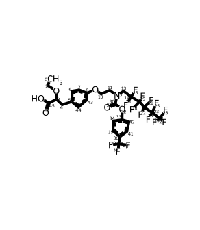 CCOC(Cc1ccc(OCCN(CC(F)(F)C(F)(F)C(F)(F)C(F)(F)C(F)(F)F)C(=O)Oc2ccc(C(F)(F)F)cc2)cc1)C(=O)O